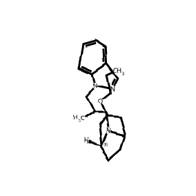 CCCOC1CC2CC[C@H](C1)N2CC(C)Cn1ncc2ccccc21